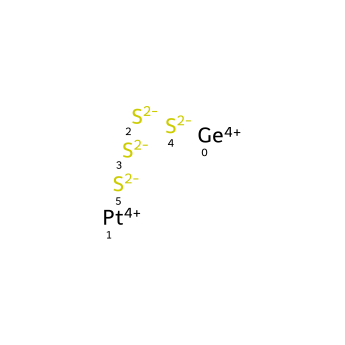 [Ge+4].[Pt+4].[S-2].[S-2].[S-2].[S-2]